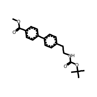 COC(=O)c1ccc(-c2ccc(CCNC(=O)OC(C)(C)C)cc2)cc1